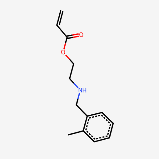 C=CC(=O)OCCNCc1ccccc1C